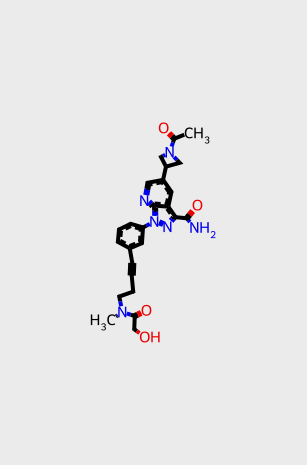 CC(=O)N1CC(c2cnc3c(c2)c(C(N)=O)nn3-c2cccc(C#CCCN(C)C(=O)CO)c2)C1